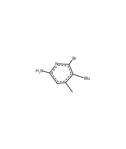 Cc1cc(N)nc(Br)c1C(C)(C)C